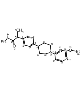 CCNC(=O)C(C)c1ccc(C2CCN(c3ccnc(OCC)n3)CC2)cc1